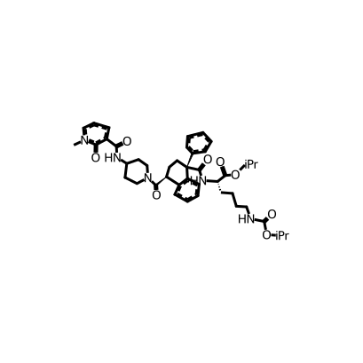 CC(C)OC(=O)NCCCC[C@H](NC(=O)[C@@]1(c2ccccc2)CC[C@H](C(=O)N2CCC(NC(=O)c3cccn(C)c3=O)CC2)c2ccccc21)C(=O)OC(C)C